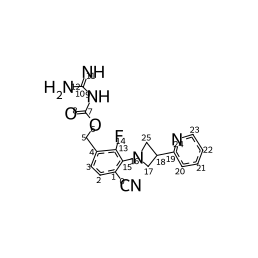 N#Cc1ccc(COC(=O)NC(=N)N)c(F)c1N1CC(c2ccccn2)C1